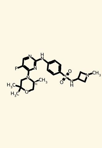 C[C@H]1COC(C)(C)CN1c1nc(Nc2ccc(S(=O)(=O)NC3CN(C)C3)cc2)ncc1F